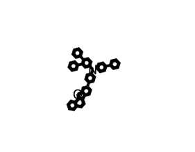 c1ccc(-c2ccc(N(c3ccc(-c4ccc5c(c4)oc4c6ccccc6ccc54)cc3)c3ccc(-c4ccccc4)c(-c4ccccc4)c3)cc2)cc1